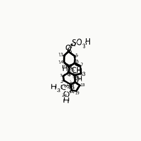 C[C@]12CC[C@H]3[C@@H](CC=C4C[C@@H](OS(=O)(=O)O)CC[C@@]43C)[C@@H]1CC[C@@H]2O